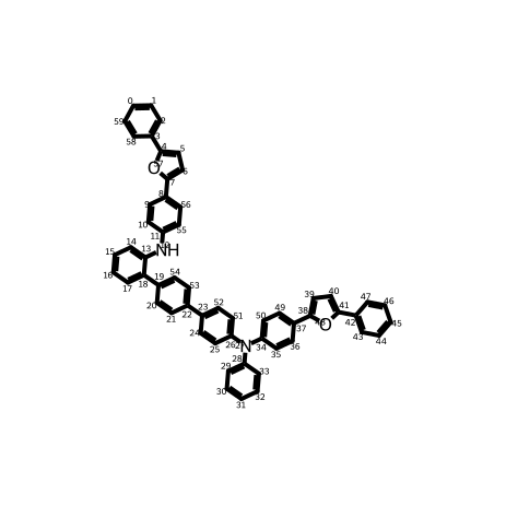 c1ccc(-c2ccc(-c3ccc(Nc4ccccc4-c4ccc(-c5ccc(N(c6ccccc6)c6ccc(-c7ccc(-c8ccccc8)o7)cc6)cc5)cc4)cc3)o2)cc1